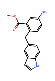 COC(=O)c1cc(N)ccc1Cc1ccc2[nH]ccc2c1